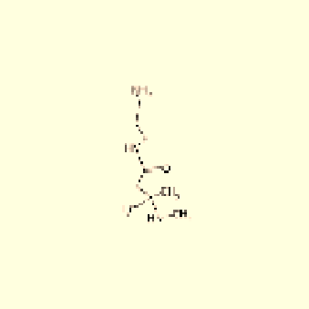 CNC(C)(C)CC(=O)NCCCN